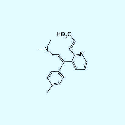 Cc1ccc(/C(=C\CN(C)C)c2cccnc2/C=C/C(=O)O)cc1